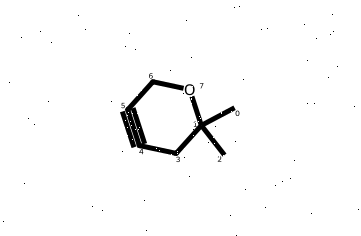 CC1(C)CC#CCO1